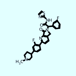 CN1CCC(c2ccc(-c3ccc4c(n3)C(=O)N(C(C(=O)Nc3nccs3)c3cccc(F)c3)C4)c(F)c2)CC1